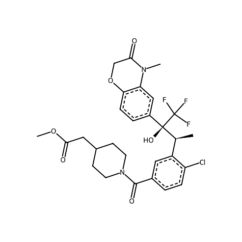 COC(=O)CC1CCN(C(=O)c2ccc(Cl)c([C@H](C)[C@](O)(c3ccc4c(c3)N(C)C(=O)CO4)C(F)(F)F)c2)CC1